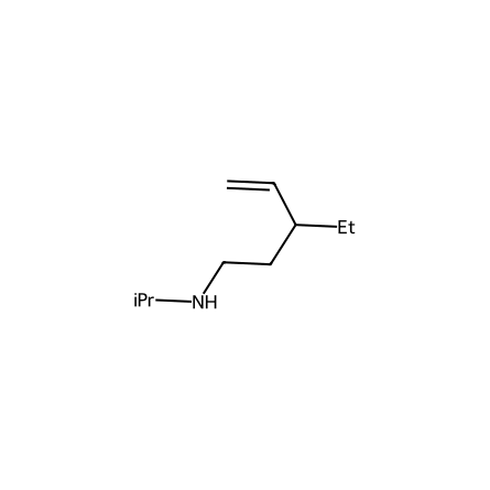 C=CC(CC)CCNC(C)C